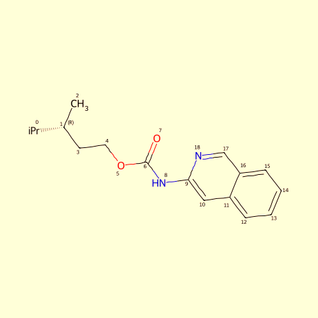 CC(C)[C@H](C)CCOC(=O)Nc1cc2ccccc2cn1